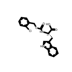 O=C(N[C@@H](Cc1c[nH]c2ccccc12)C(=O)O)OCc1ccccc1Cl